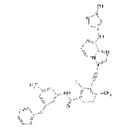 Cc1cc(NC(=O)c2ccc(C)c(C#Cc3cnc4c(Nc5cnn(C)c5)cccn34)c2F)cc(Oc2ccncc2)c1